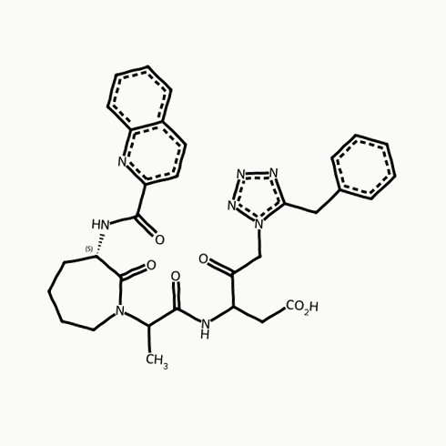 CC(C(=O)NC(CC(=O)O)C(=O)Cn1nnnc1Cc1ccccc1)N1CCCC[C@H](NC(=O)c2ccc3ccccc3n2)C1=O